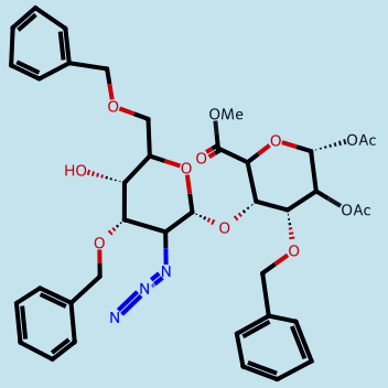 COC(=O)C1O[C@H](OC(C)=O)C(OC(C)=O)[C@H](OCc2ccccc2)[C@@H]1O[C@H]1OC(COCc2ccccc2)[C@@H](O)[C@@H](OCc2ccccc2)C1N=[N+]=[N-]